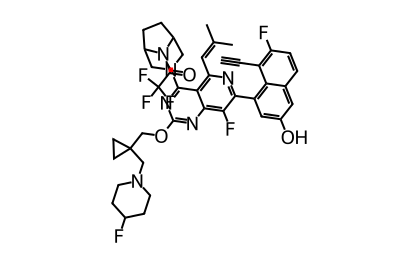 C#Cc1c(F)ccc2cc(O)cc(-c3nc(C=C(C)C)c4c(N5CC6CCC(C5)N6C(=O)C(F)(F)F)nc(OCC5(CN6CCC(F)CC6)CC5)nc4c3F)c12